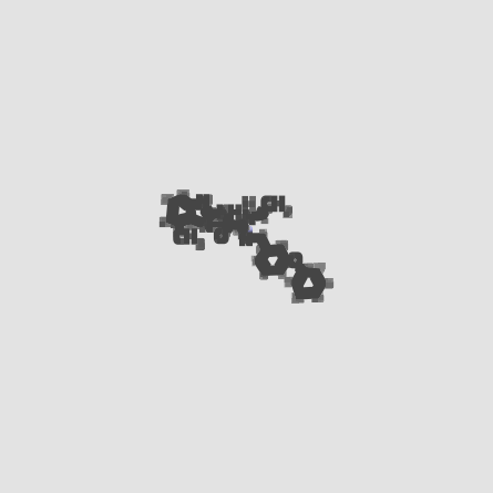 C=CN/C(=N\Cc1cccc(Oc2ccccc2)c1)C(=O)Nc1nc2cccc(C)c2[nH]1